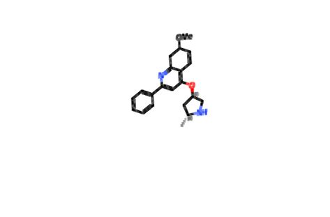 COC1C=Cc2c(O[C@H]3CN[C@H](C)C3)cc(-c3ccccc3)nc2C1